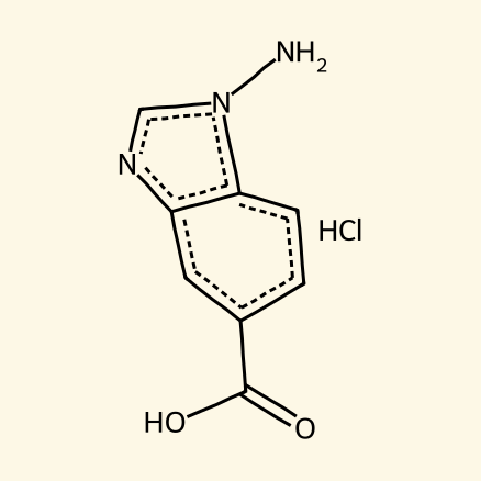 Cl.Nn1cnc2cc(C(=O)O)ccc21